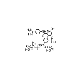 COc1ccc(-c2ccc(C(=O)NCC(C)(C)CN)cc2C(=O)O)c(C(=O)Nc2ccc(C(=N)N)cc2)n1.CS(=O)(=O)O.CS(=O)(=O)O